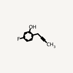 CC#CCc1ccc(F)cc1O